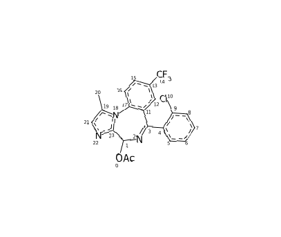 CC(=O)OC1N=C(c2ccccc2Cl)c2cc(C(F)(F)F)ccc2-n2c(C)cnc21